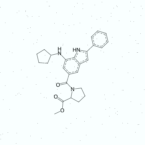 COC(=O)C1CCCN1C(=O)c1cc(NC2CCCC2)c2[nH]c(-c3ccccc3)cc2c1